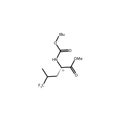 COC(=O)[C@H](CC(C)C(F)(F)F)NC(=O)OC(C)(C)C